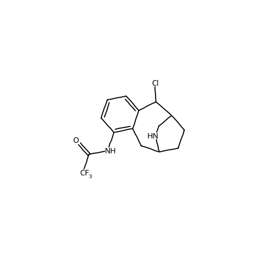 O=C(Nc1cccc2c1CC1CCC(CN1)C2Cl)C(F)(F)F